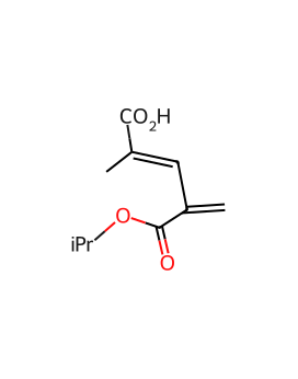 C=C(C=C(C)C(=O)O)C(=O)OC(C)C